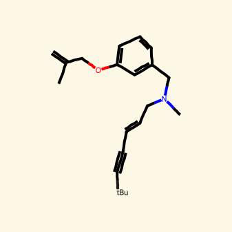 C=C(C)COc1cccc(CN(C)CC=CC#CC(C)(C)C)c1